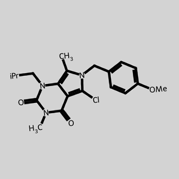 COc1ccc(Cn2c(Cl)c3c(=O)n(C)c(=O)n(CC(C)C)c3c2C)cc1